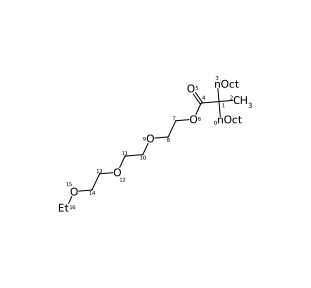 CCCCCCCCC(C)(CCCCCCCC)C(=O)OCCOCCOCCOCC